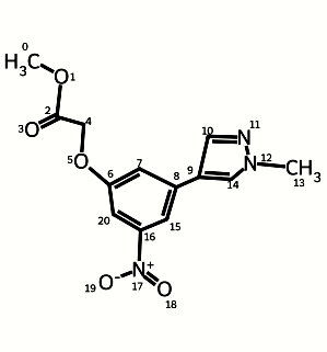 COC(=O)COc1cc(-c2cnn(C)c2)cc([N+](=O)[O-])c1